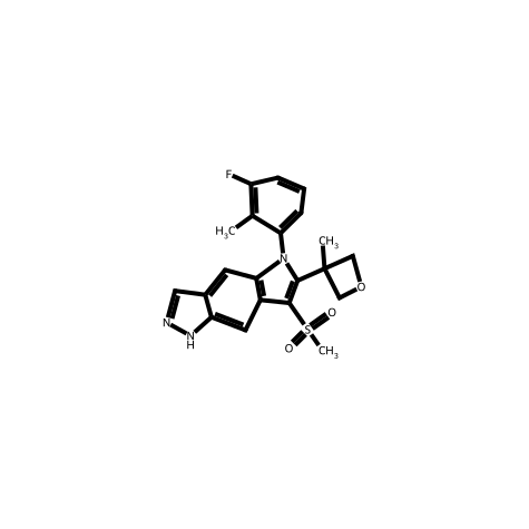 Cc1c(F)cccc1-n1c(C2(C)COC2)c(S(C)(=O)=O)c2cc3[nH]ncc3cc21